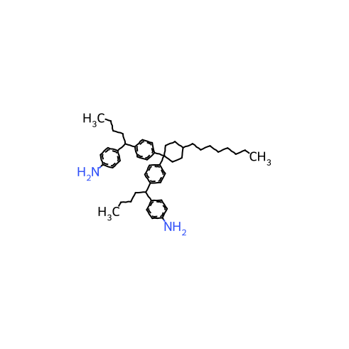 CCCCCCCCC1CCC(c2ccc(C(CCCC)c3ccc(N)cc3)cc2)(c2ccc(C(CCCC)c3ccc(N)cc3)cc2)CC1